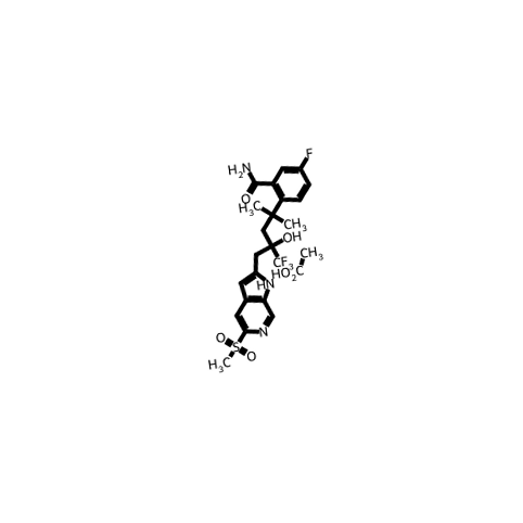 CC(=O)O.CC(C)(CC(O)(Cc1cc2cc(S(C)(=O)=O)ncc2[nH]1)C(F)(F)F)c1ccc(F)cc1C(N)=O